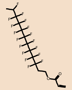 C=CC(=O)OCCC(F)(F)C(F)(F)C(F)(F)C(F)(F)C(F)(F)C(F)(F)C(F)(F)C(F)(F)C(C)F